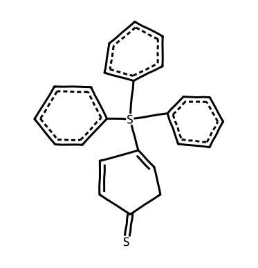 S=C1C=CC(S(c2ccccc2)(c2ccccc2)c2ccccc2)=CC1